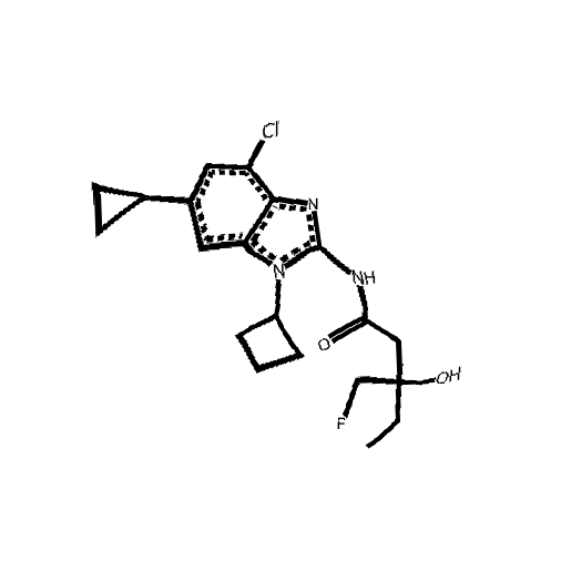 CCC(O)(CF)CC(=O)Nc1nc2c(Cl)cc(C3CC3)cc2n1C1CCC1